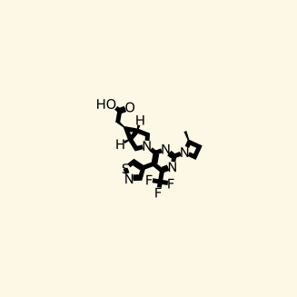 C[C@H]1CCN1c1nc(N2C[C@@H]3[C@@H](CC(=O)O)[C@@H]3C2)c(-c2cnsc2)c(C(F)(F)F)n1